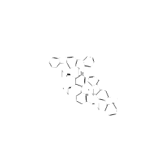 N#Cc1cccc(-c2ccc(-n3c4ccccc4c4cc5oc6ccccc6c5cc43)c(C#N)c2C#N)c1-n1c2ccccc2c2cc3oc4ccccc4c3cc21